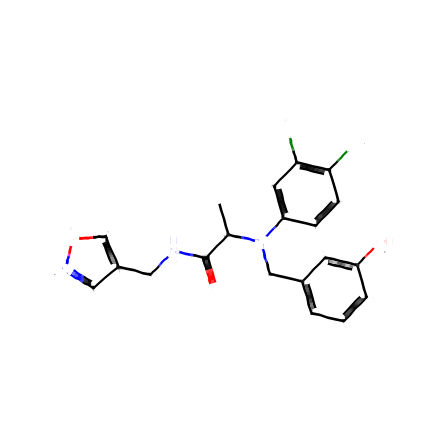 CC(C(=O)NCc1cnoc1)N(Cc1cccc(O)c1)c1ccc(F)c(Cl)c1